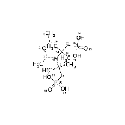 CCOC(C)N(C(C)(C)CP(=O)(O)O)C(C)(C)CP(=O)(O)O